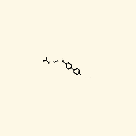 C=C(C)C(=O)OCCOC(=O)c1ccc(-c2ccc(C(=O)OCC)cc2)cc1